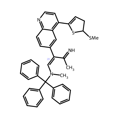 CSC1CC=C(c2ccnc3ccc(/C(=C/N(C)C(c4ccccc4)(c4ccccc4)c4ccccc4)C(C)=N)cc23)S1